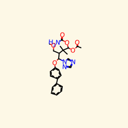 COCC(C(Oc1ccc(-c2ccccc2)cc1)n1cncn1)C(C)(C)C(OC(C)=O)OC(N)=O